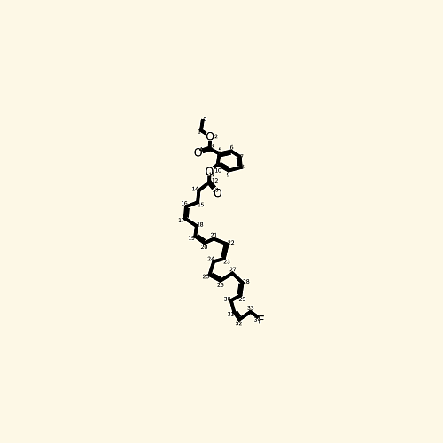 CCOC(=O)c1ccccc1OC(=O)CC/C=C\C/C=C\C/C=C\C/C=C\C/C=C\C/C=C\CF